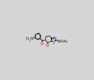 CC(=O)Nc1nc2c(s1)C(=O)C(C(=O)c1cccc([N+](=O)[O-])c1)CC2